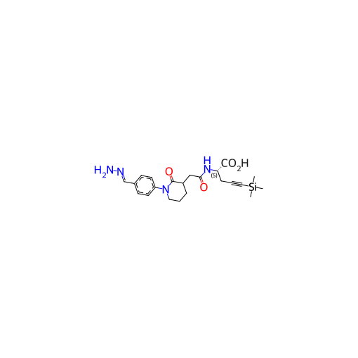 C[Si](C)(C)C#CC[C@H](NC(=O)CC1CCCN(c2ccc(C=NN)cc2)C1=O)C(=O)O